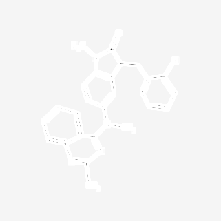 Cc1nc(N(C)c2ccc3c(c2)C(Cc2ccccc2Cl)C(=O)N3C)c2ccccc2n1